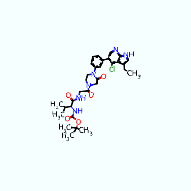 CCc1c[nH]c2ncc(-c3cccc(N4CCN(C(=O)CNC(=O)[C@@H](NC(=O)OC(C)(C)C)C(C)C)CC4=O)c3)c(Cl)c12